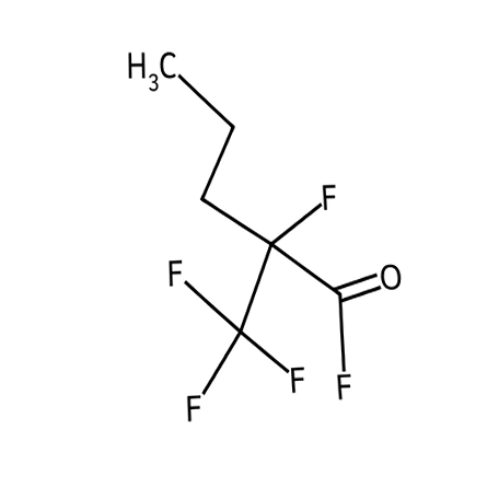 CCCC(F)(C(=O)F)C(F)(F)F